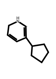 [C]1=C(C2CCCC2)C=CCN1